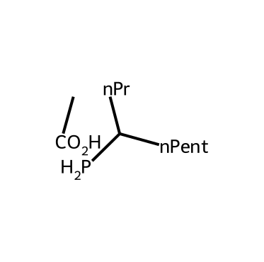 CC(=O)O.CCCCCC(P)CCC